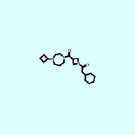 O=C(CC1CCCCC1)N1CC(C(=O)N2CCCN(C3CCC3)CC2)C1